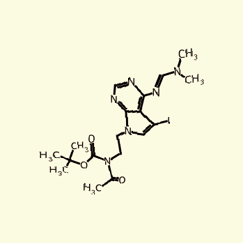 CC(=O)N(CCn1cc(I)c2c(N=CN(C)C)ncnc21)C(=O)OC(C)(C)C